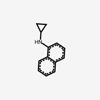 c1ccc2c(NC3CC3)cccc2c1